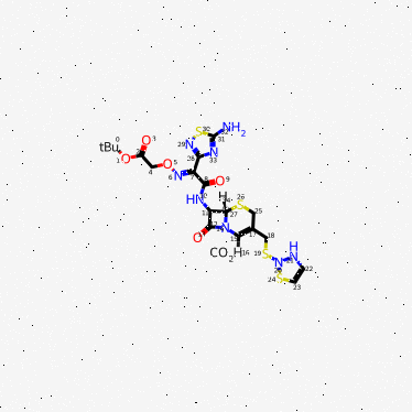 CC(C)(C)OC(=O)CON=C(C(=O)NC1C(=O)N2C(C(=O)O)=C(CSN3NC=CS3)CS[C@@H]12)c1nsc(N)n1